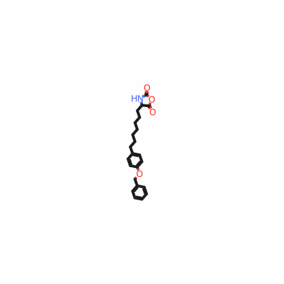 O=C1NC(CCCCCCCc2ccc(OCc3ccccc3)cc2)C(=O)O1